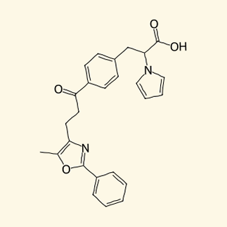 Cc1oc(-c2ccccc2)nc1CCC(=O)c1ccc(CC(C(=O)O)n2cccc2)cc1